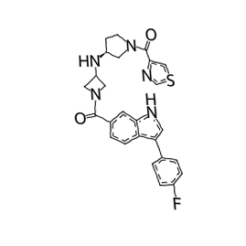 O=C(c1ccc2c(-c3ccc(F)cc3)c[nH]c2c1)N1CC(N[C@H]2CCN(C(=O)c3cscn3)C2)C1